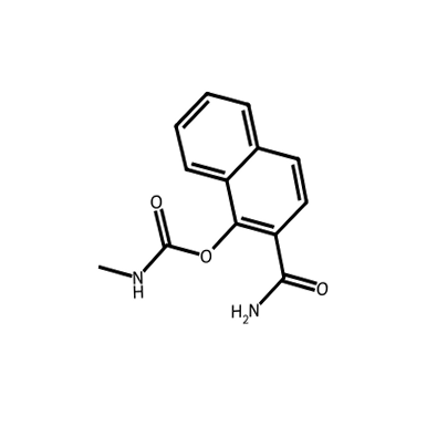 CNC(=O)Oc1c(C(N)=O)ccc2ccccc12